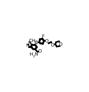 Cn1ncc2cc(C(N)=O)cc(Oc3ccc(OCCOC4CCOCC4)c(F)c3)c21